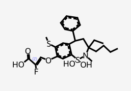 CCCCC1(CC)CC(c2ccccc2)c2cc(SC)c(O/C=C(\F)C(=O)O)cc2S(O)(O)N1C